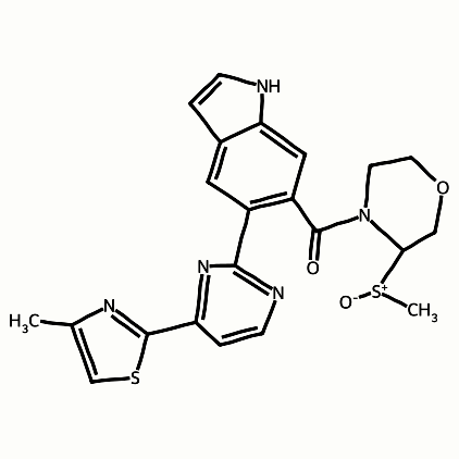 Cc1csc(-c2ccnc(-c3cc4cc[nH]c4cc3C(=O)N3CCOCC3[S+](C)[O-])n2)n1